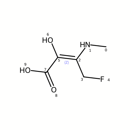 CN/C(CF)=C(\O)C(=O)O